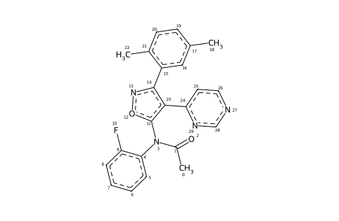 CC(=O)N(c1ccccc1F)c1onc(-c2cc(C)ccc2C)c1-c1ccncn1